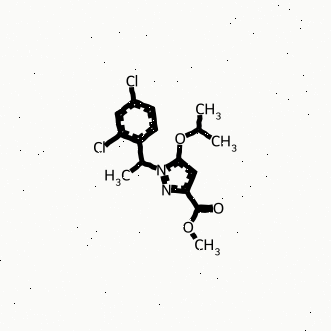 COC(=O)c1cc(OC(C)C)n(C(C)c2ccc(Cl)cc2Cl)n1